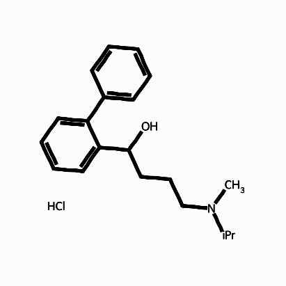 CC(C)N(C)CCCC(O)c1ccccc1-c1ccccc1.Cl